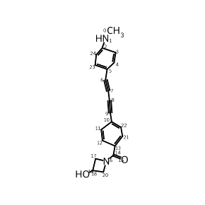 CNc1ccc(C#CC#Cc2ccc(C(=O)N3CC(O)C3)cc2)cc1